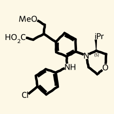 COCC(CC(=O)O)c1ccc(N2CCOC[C@@H]2C(C)C)c(Nc2ccc(Cl)cc2)c1